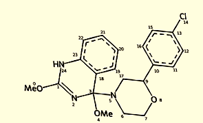 COC1=NC(OC)(N2CCOC(c3ccc(Cl)cc3)C2)c2ccccc2N1